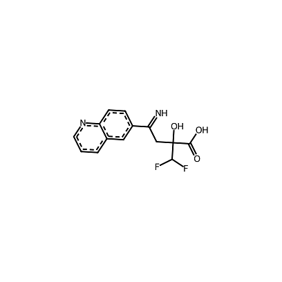 N=C(CC(O)(C(=O)O)C(F)F)c1ccc2ncccc2c1